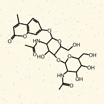 CC(=O)NC1C(OC2C(CO)OC(Oc3ccc4c(C)cc(=O)oc4c3)C(NC(C)=O)C2O)OC(CO)C(O)C1O